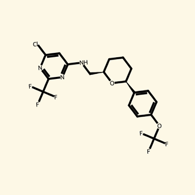 FC(F)(F)Oc1ccc([C@@H]2CCC[C@H](CNc3cc(Cl)nc(C(F)(F)F)n3)O2)cc1